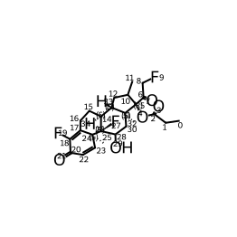 CCC(=O)O[C@]1(C(=O)CF)C(C)C[C@H]2[C@@H]3CCC4=C(F)C(=O)C=C[C@]4(C)[C@@]3(F)C(O)C[C@@]21C